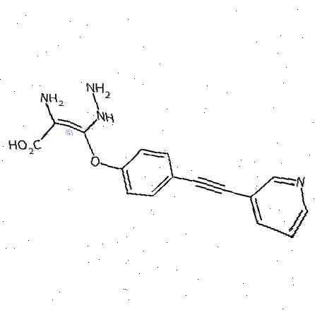 NN/C(Oc1ccc(C#Cc2cccnc2)cc1)=C(\N)C(=O)O